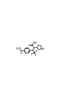 NNc1ccc(C(N(C(=O)O)[C@H]2CCNC2)C(F)(F)F)cn1